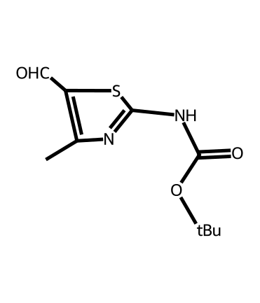 Cc1nc(NC(=O)OC(C)(C)C)sc1C=O